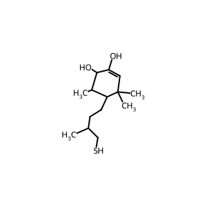 CC(CS)CCC1C(C)C(O)C(O)=CC1(C)C